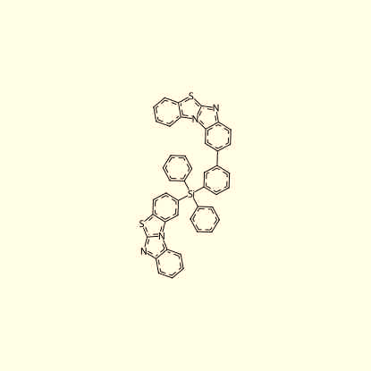 c1ccc([Si](c2ccccc2)(c2cccc(-c3ccc4nc5sc6ccccc6n5c4c3)c2)c2ccc3sc4nc5ccccc5n4c3c2)cc1